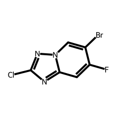 Fc1cc2nc(Cl)nn2cc1Br